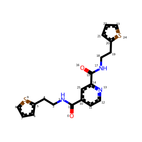 O=C(NCCc1cccs1)c1ccnc(C(=O)NCCc2cccs2)c1